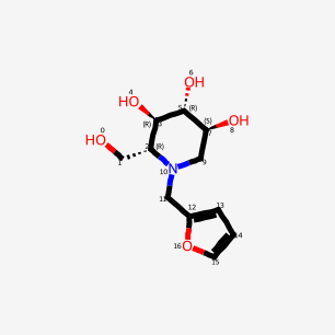 OC[C@@H]1[C@@H](O)[C@H](O)[C@@H](O)CN1Cc1ccco1